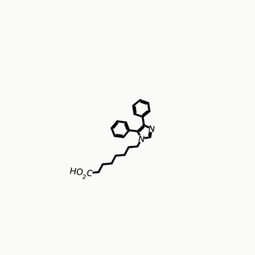 O=C(O)CCCCCCCn1cnc(-c2ccccc2)c1-c1ccccc1